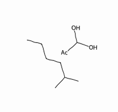 CC(=O)C(O)O.CCCCC(C)C